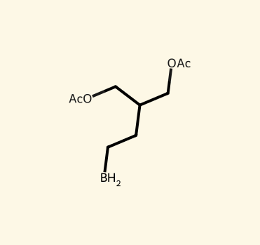 BCCC(COC(C)=O)COC(C)=O